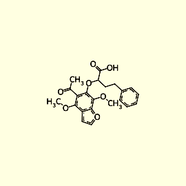 COc1c(C(C)=O)c(OC(CCc2ccccc2)C(=O)O)c(OC)c2occc12